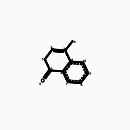 CC1=CCC(=O)c2ccccc21